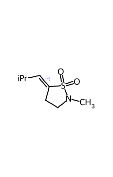 CC(C)/C=C1\CCN(C)S1(=O)=O